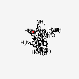 NCCCC[C@H](NC(=O)[C@@H]1CCCN1C(=O)[C@H](CC(=O)O)NC(=O)CNC(=O)[C@@H](N)CS)C(=O)N[C@@H](Cc1c[nH]cn1)C(=O)N1CCC[C@H]1C(=O)N[C@@H](CCCCN)C(=O)N[C@@H](CO)C(=O)N[C@@H](Cc1ccccc1)C(=O)O